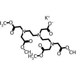 COC(=O)CN(CCN(CCN(CC(=O)OC)CC(=O)OC)CC(=O)[O-])CC(=O)OC.[K+]